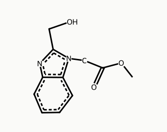 COC(=O)Cn1c(CO)nc2ccccc21